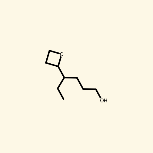 CCC(CCCO)C1CCO1